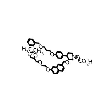 CC1(C)OCC(COCCOc2ccc3ccc(COC4CN(OC(=O)O)CCC4c4ccc(OCCCOCc5ccccc5)cc4)cc3c2)O1